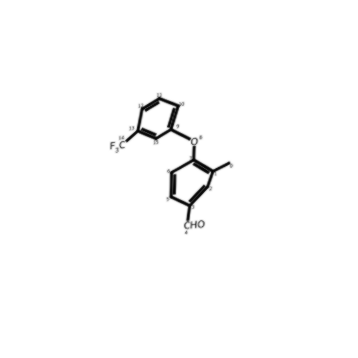 Cc1cc(C=O)ccc1Oc1cccc(C(F)(F)F)c1